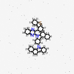 c1ccc2c(c1)ccc1c2c2cc(-n3c4ccccc4c4ccc5ccccc5c43)ccc2n1-c1nc2ccccc2nc1-c1cccc2sc3ccccc3c12